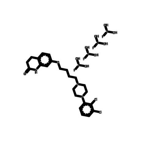 O=C1CCc2ccc(OCCCCN3CCN(c4cccc(Cl)c4Cl)CC3)cc2N1.OB(O)F.OB(O)F.OB(O)F.OB(O)F